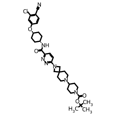 CC(C)(C)OC(=O)N1CCC(N2CCC3(CC2)CN(c2ccc(C(=O)N[C@H]4CC[C@H](Oc5ccc(C#N)c(Cl)c5)CC4)nn2)C3)CC1